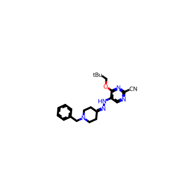 CC(C)(C)COc1nc(C#N)ncc1NN=C1CCN(Cc2ccccc2)CC1